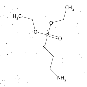 CCOP(=O)(OCC)SCCN